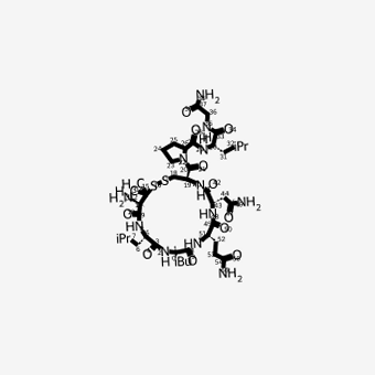 CC[C@H](C)C1NC(=O)[C@H](CC(C)C)NC(=O)[C@@H](N)C(C)(C)SSC[C@@H](C(=O)N2CCCC2C(=O)N[C@@H](CC(C)C)C(=O)NCC(N)=O)NC(=O)[C@H](CC(N)=O)NC(=O)[C@H](CCC(N)=O)NC1=O